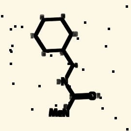 [CH2]NC(=O)[N]CC1CCCCC1